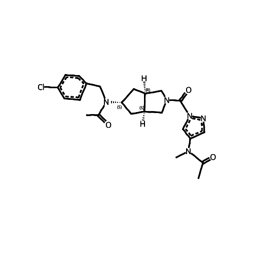 CC(=O)N(C)c1cnn(C(=O)N2C[C@H]3C[C@H](N(Cc4ccc(Cl)cc4)C(C)=O)C[C@H]3C2)c1